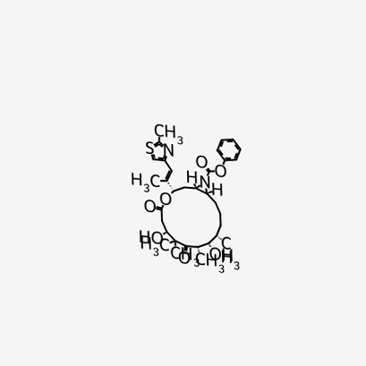 CC(=Cc1csc(C)n1)[C@@H]1C[C@H]2[C@@H](CCC[C@H](C)[C@H](O)[C@H](C)C(=O)C(C)(C)[C@@H](O)CC(=O)O1)N2C(=O)Oc1ccccc1